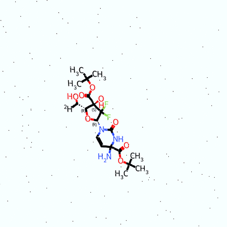 [2H]C(O)[C@H]1O[C@@H](N2C=CC(N)(C(=O)OC(C)(C)C)NC2=O)C(F)(F)[C@@]1(O)C(=O)OC(C)(C)C